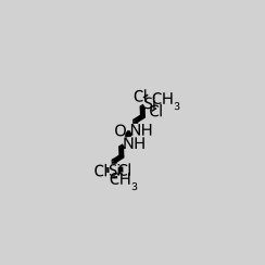 C[Si](Cl)(Cl)CCCNC(=O)NCCC[Si](C)(Cl)Cl